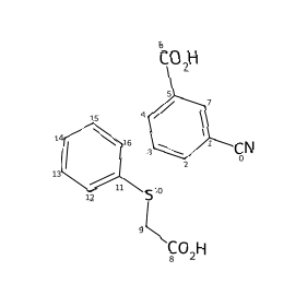 N#Cc1cccc(C(=O)O)c1.O=C(O)CSc1ccccc1